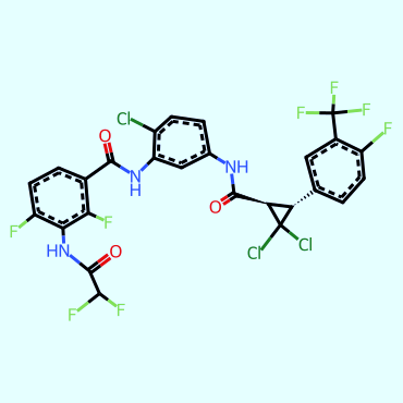 O=C(Nc1cc(NC(=O)[C@H]2[C@H](c3ccc(F)c(C(F)(F)F)c3)C2(Cl)Cl)ccc1Cl)c1ccc(F)c(NC(=O)C(F)F)c1F